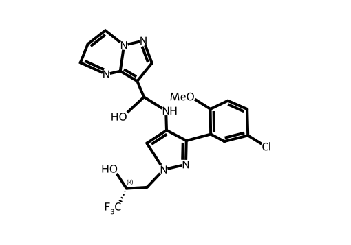 COc1ccc(Cl)cc1-c1nn(C[C@@H](O)C(F)(F)F)cc1NC(O)c1cnn2cccnc12